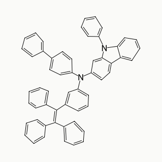 c1ccc(C(=C(c2ccccc2)c2cccc(N(c3ccc(-c4ccccc4)cc3)c3ccc4c5ccccc5n(-c5ccccc5)c4c3)c2)c2ccccc2)cc1